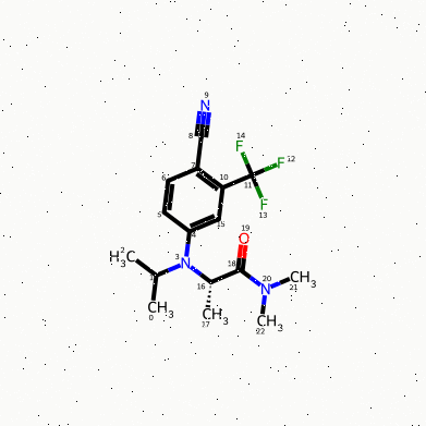 CC(C)N(c1ccc(C#N)c(C(F)(F)F)c1)[C@@H](C)C(=O)N(C)C